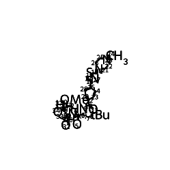 CO[C@H]1CN(C(=O)[C@H](CC(C)(C)C)NC(=O)c2ccc(-c3csc(N4CCN(C)CC4)n3)cc2)[C@@H]2C(=O)CO[C@H]12